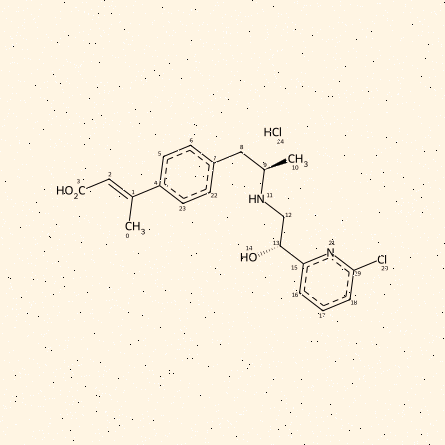 C/C(=C\C(=O)O)c1ccc(C[C@@H](C)NC[C@@H](O)c2cccc(Cl)n2)cc1.Cl